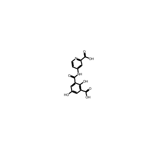 O=C(O)c1cc(NC(=O)c2cc(O)cc(C(=O)O)c2O)ccn1